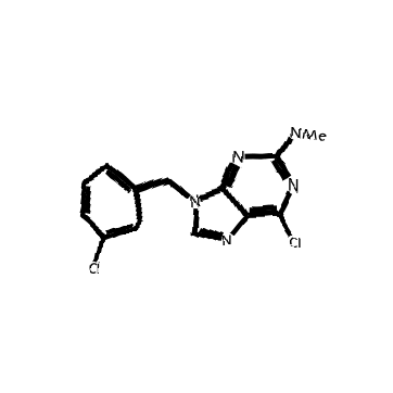 CNc1nc(Cl)c2ncn(Cc3cccc(Cl)c3)c2n1